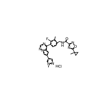 Cc1c(CNC(=O)c2noc(C3(C)CC3)n2)ccc(-c2ncnn3cc(-c4cnn(C)c4)cc23)c1F.Cl